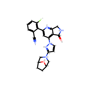 N#Cc1cccc(F)c1-c1cc(-n2ccc(N3CC4CCC(C3)O4)n2)c2c(n1)CNC2=O